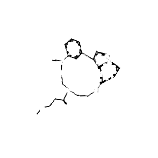 COCCC(=O)N1CCNc2ccn3ncc(c3n2)-c2cccc(c2)N(C)CC1